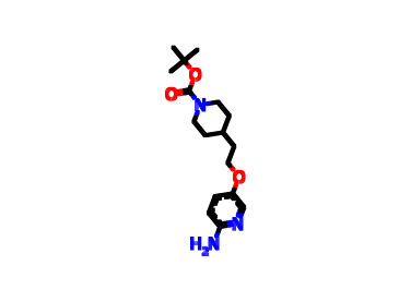 CC(C)(C)OC(=O)N1CCC(CCOc2ccc(N)nc2)CC1